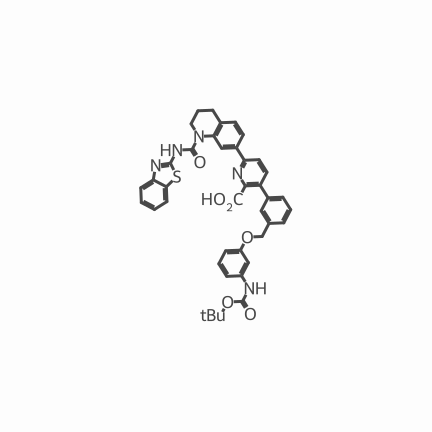 CC(C)(C)OC(=O)Nc1cccc(OCc2cccc(-c3ccc(-c4ccc5c(c4)N(C(=O)Nc4nc6ccccc6s4)CCC5)nc3C(=O)O)c2)c1